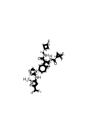 Cn1nc(C(F)F)cc1Nc1nncn1[C@H]1CCc2sc(NC(=O)[C@H]3CC3(F)F)c(C(=O)NC[C@H]3C[C@H](F)C3)c2C1